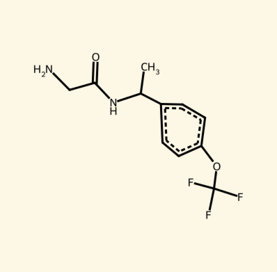 CC(NC(=O)CN)c1ccc(OC(F)(F)F)cc1